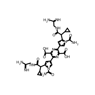 N=C(N)CNC(=O)C(c1cc(-c2nc(C(=O)O)c(-c3cc(C(C(=O)NCC(=N)N)C4CC4)n(C(N)=O)c3)nc2C(=O)O)cn1C(N)=O)C1CC1